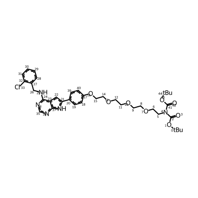 CC(C)(C)OC(=O)N(CCOCCOCCOCCOc1ccc(-c2cc3c(NCc4ccccc4Cl)ncnc3[nH]2)cc1)C(=O)OC(C)(C)C